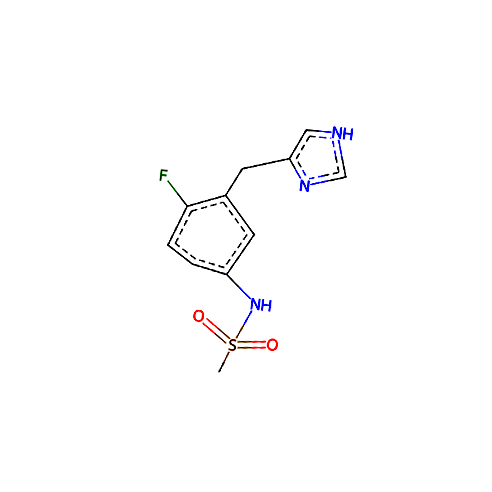 CS(=O)(=O)Nc1ccc(F)c(Cc2c[nH]cn2)c1